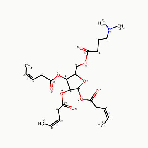 C/C=C\CC(=O)OC1OC(COC(=O)CCCN(C)C)C(OC(=O)C/C=C\C)C1OC(=O)C/C=C\C